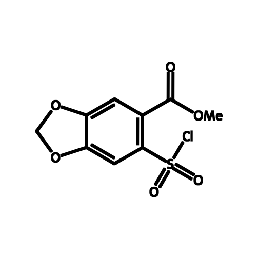 COC(=O)c1cc2c(cc1S(=O)(=O)Cl)OCO2